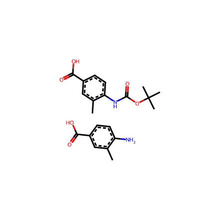 Cc1cc(C(=O)O)ccc1N.Cc1cc(C(=O)O)ccc1NC(=O)OC(C)(C)C